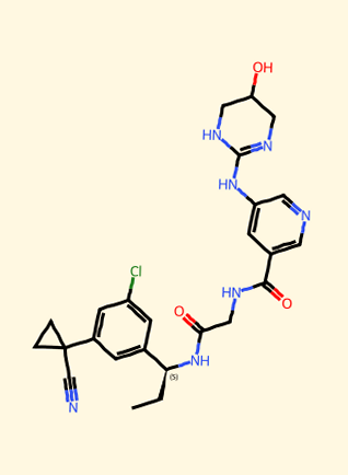 CC[C@H](NC(=O)CNC(=O)c1cncc(NC2=NCC(O)CN2)c1)c1cc(Cl)cc(C2(C#N)CC2)c1